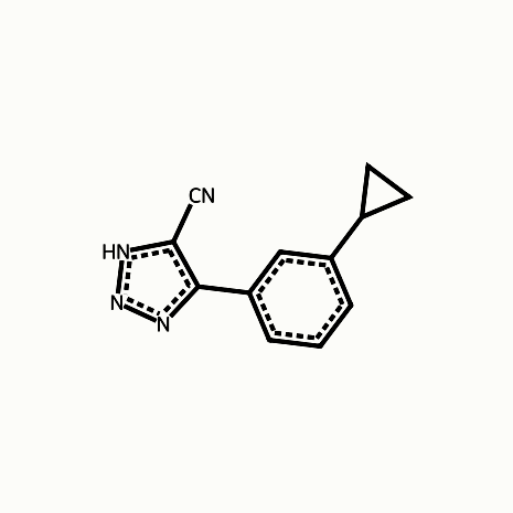 N#Cc1[nH]nnc1-c1cccc(C2CC2)c1